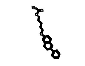 CCC(C)C(=O)OCCCCCOc1ccc2c(c1)CCC(c1ccccc1)=C2